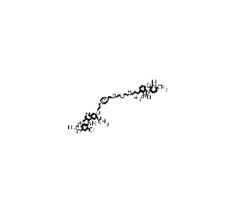 C=C1CCC(n2c(=O)n(C)c3c(CCCOCCOCCOCCN4CCN(CCCOc5cc6ncc(C#N)c(Nc7cc(OC)c(Cl)cc7Cl)c6cc5OC)CC4)cccc32)C(=O)N1